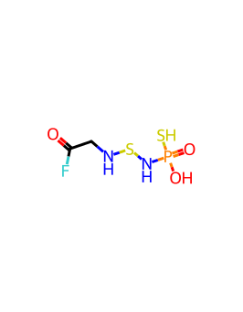 O=C(F)CNSNP(=O)(O)S